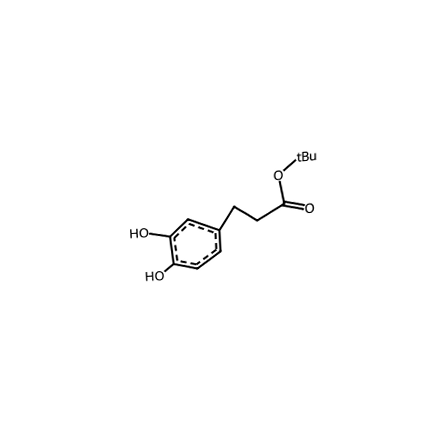 CC(C)(C)OC(=O)CCc1ccc(O)c(O)c1